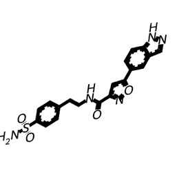 NS(=O)(=O)c1ccc(CCNC(=O)c2cc(-c3ccc4[nH]ncc4c3)on2)cc1